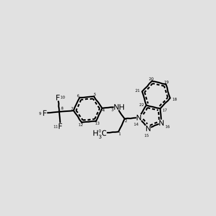 CCC(Nc1ccc(C(F)(F)F)cc1)n1nnc2ccccc21